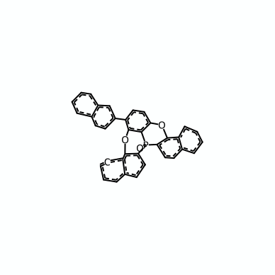 O=P12c3ccc4ccccc4c3Oc3ccc(-c4ccc5ccccc5c4)c(c31)Oc1c2ccc2ccccc12